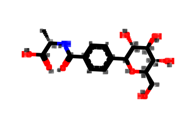 C[C@H](NC(=O)c1ccc(C2O[C@H](CO)[C@@H](O)[C@H](O)[C@H]2O)cc1)C(=O)O